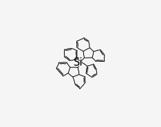 C1=CC2C3C=CC=CC3C([Si](c3ccccc3)(c3ccccc3)C3C4C=CC=CC4C4C=CC=CC43)C2C=C1